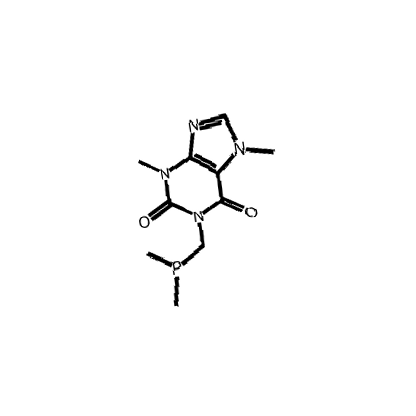 Cn1cnc2c1c(=O)n(CP(C)C)c(=O)n2C